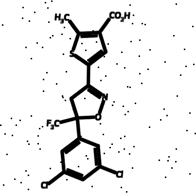 Cc1sc(C2=NOC(c3cc(Cl)cc(Cl)c3)(C(F)(F)F)C2)cc1C(=O)O